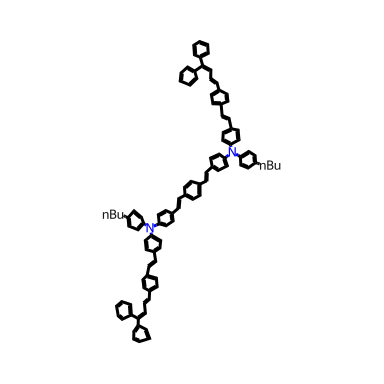 CCCCc1ccc(N(c2ccc(/C=C/c3ccc(/C=C/C=C(c4ccccc4)c4ccccc4)cc3)cc2)c2ccc(/C=C/c3ccc(/C=C/c4ccc(N(c5ccc(/C=C/c6ccc(/C=C/C=C(c7ccccc7)c7ccccc7)cc6)cc5)c5ccc(CCCC)cc5)cc4)cc3)cc2)cc1